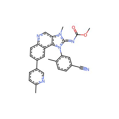 COC(=O)N=c1n(C)c2cnc3ccc(-c4ccc(C)nc4)cc3c2n1-c1cc(C#N)ccc1C